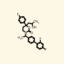 CC(O)CC1(c2ccc(F)cc2)CCN(C(C)c2ccc(-c3ccc(F)cc3F)cc2)C(=O)O1